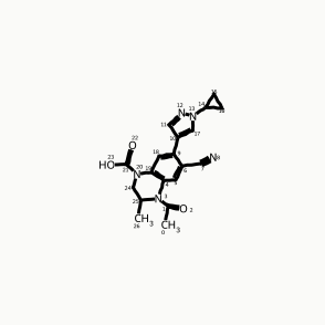 CC(=O)N1c2cc(C#N)c(-c3cnn(C4CC4)c3)cc2N(C(=O)O)CC1C